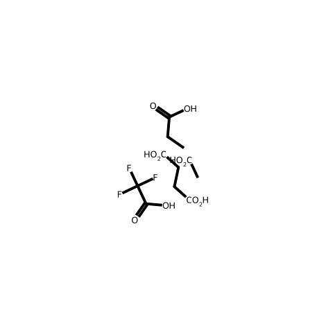 CC(=O)O.CCC(=O)O.O=C(O)C(F)(F)F.O=C(O)CCC(=O)O